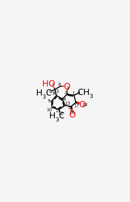 CC1=C2OCC(C)(O)c3ccc(C)c(c32)C(=O)C1=O